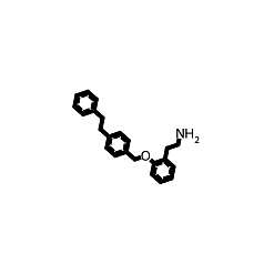 NCCc1ccccc1OCc1ccc(CCc2ccccc2)cc1